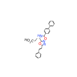 O=C(O)CC[C@H](NC(=O)c1ccc(-c2ccccc2)cc1)c1nnc(C=Cc2ccccc2)o1